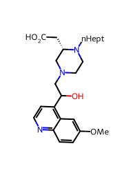 CCCCCCCN1CCN(CC(O)c2ccnc3ccc(OC)cc23)C[C@@H]1CC(=O)O